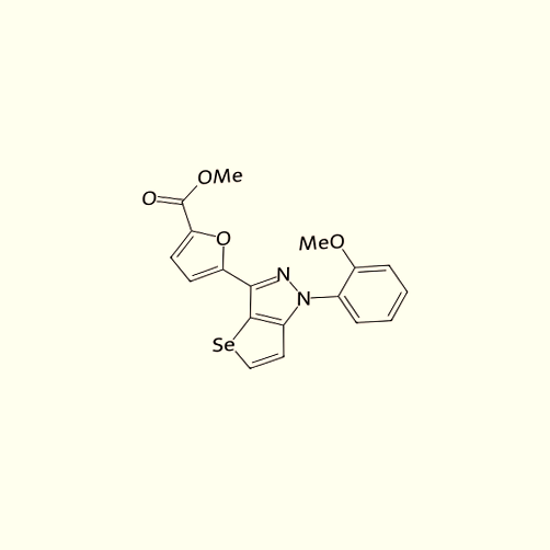 COC(=O)c1ccc(-c2nn(-c3ccccc3OC)c3cc[se]c23)o1